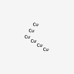 [Cu].[Cu].[Cu].[Cu].[Cu].[Cu]